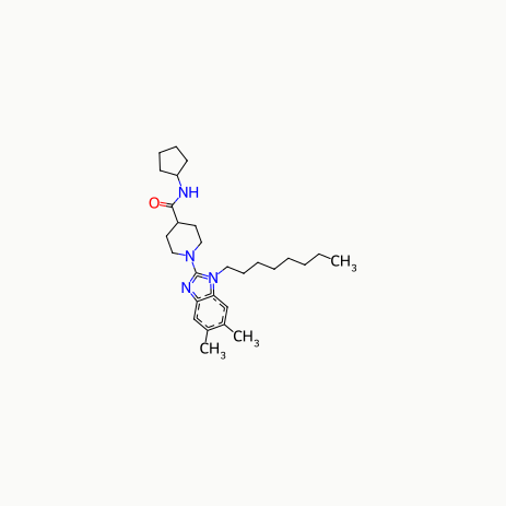 CCCCCCCCn1c(N2CCC(C(=O)NC3CCCC3)CC2)nc2cc(C)c(C)cc21